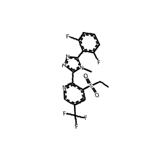 CCS(=O)(=O)c1cc(C(F)(F)F)cnc1-c1nnc(-c2c(F)cccc2F)n1C